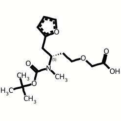 CN(C(=O)OC(C)(C)C)[C@@H](CCOCC(=O)O)Cc1ccco1